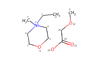 CC[N+]1(C)CCOCC1.COCC(=O)[O-]